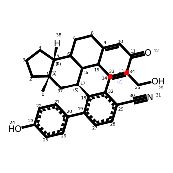 C[C@@]12CCC[C@@H]1C1CCC3=CC(=O)CCC3C1[C@@H](c1c(-c3ccc(O)cc3)ccc(C#N)c1/C=C\CO)C2